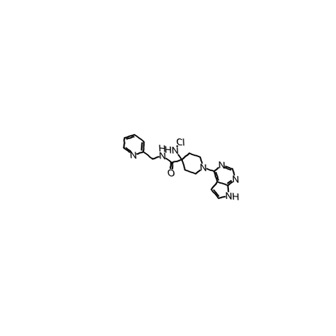 O=C(NCc1ccccn1)C1(NCl)CCN(c2ncnc3[nH]ccc23)CC1